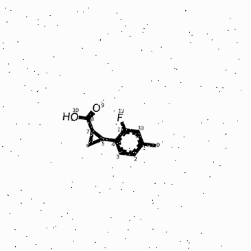 Cc1ccc(C2CC2C(=O)O)c(F)c1